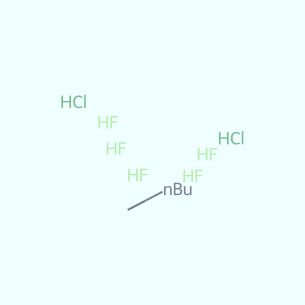 CCCCC.Cl.Cl.F.F.F.F.F